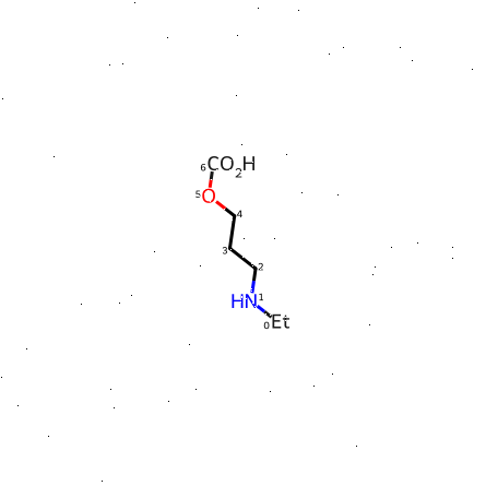 CCNCCCOC(=O)O